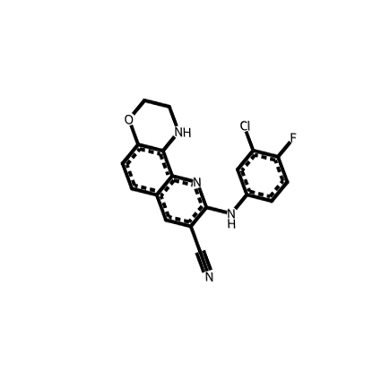 N#Cc1cc2ccc3c(c2nc1Nc1ccc(F)c(Cl)c1)NCCO3